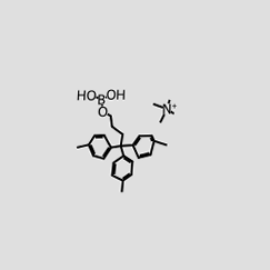 C[N+](C)(C)C.Cc1ccc(C(CCCOB(O)O)(c2ccc(C)cc2)c2ccc(C)cc2)cc1